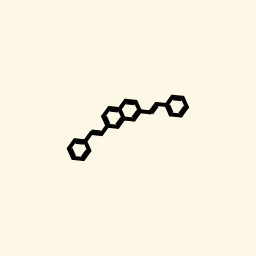 C(=C\c1ccc2ccc(/C=C/c3ccccc3)cc2c1)/c1ccccc1